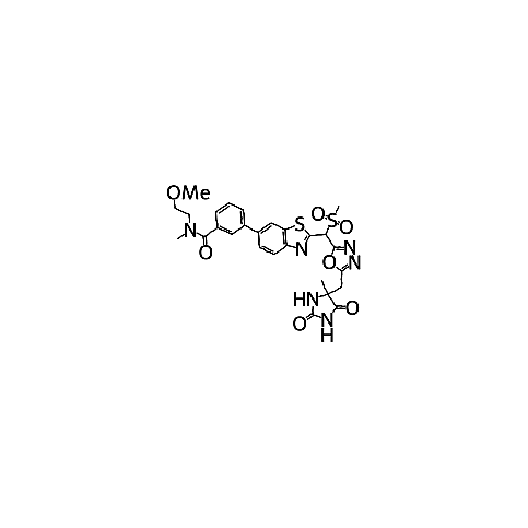 COCCN(C)C(=O)c1cccc(-c2ccc3nc(C(c4nnc(CC5(C)NC(=O)NC5=O)o4)S(C)(=O)=O)sc3c2)c1